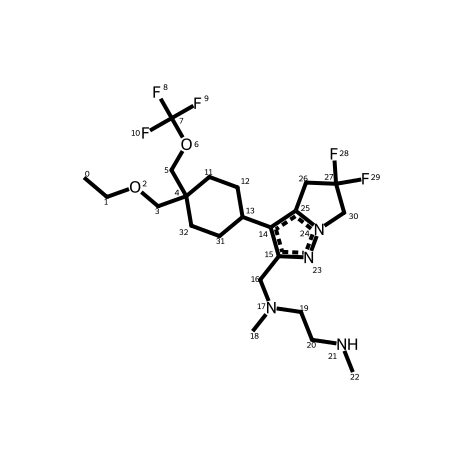 CCOCC1(COC(F)(F)F)CCC(c2c(CN(C)CCNC)nn3c2CC(F)(F)C3)CC1